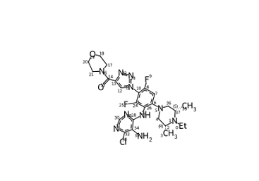 CCN1[C@H](C)CN(c2cc(F)c(-n3cc(C(=O)N4CCOCC4)nn3)c(F)c2Nc2ncnc(Cl)c2N)C[C@@H]1C